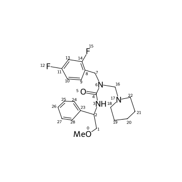 COCC(NC(=O)N(Cc1ccc(F)cc1F)CN1CCCCC1)c1ccccc1